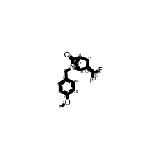 COc1ccc(CN2C(=O)C3CC(=C(F)F)C2C3)cc1